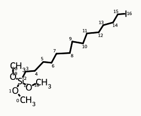 CO[Si](CCCCCCCCCCCCCI)(OC)OC